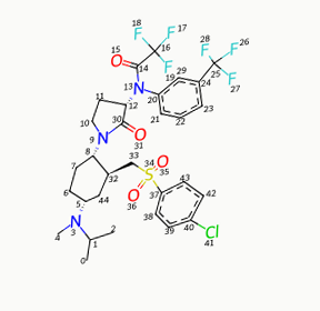 CC(C)N(C)[C@@H]1CC[C@H](N2CC[C@H](N(C(=O)C(F)(F)F)c3cccc(C(F)(F)F)c3)C2=O)[C@@H](CS(=O)(=O)c2ccc(Cl)cc2)C1